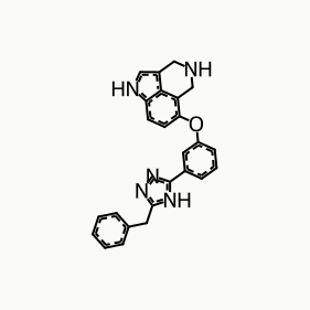 c1ccc(Cc2nnc(-c3cccc(Oc4ccc5[nH]cc6c5c4CNC6)c3)[nH]2)cc1